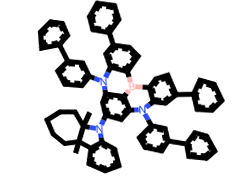 CC12CCCCCC1(C)N(c1cc3c4c(c1)N(c1cccc(-c5ccccc5)c1)c1cc(-c5ccccc5)ccc1B4c1ccc(-c4ccccc4)cc1N3c1cccc(-c3ccccc3)c1)c1ccccc12